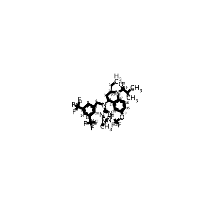 CC[C@@H]1C[C@H](N(Cc2cc(C(F)(F)F)cc(C(F)(F)F)c2)c2nnn(C)n2)c2cc(OC(F)(F)F)ccc2N1C(=O)C(C)C